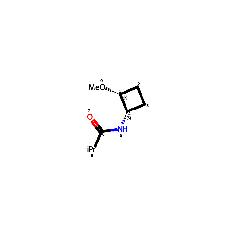 CO[C@@H]1CC[C@@H]1NC(=O)C(C)C